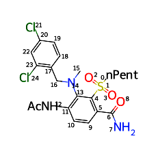 CCCCCS(=O)(=O)c1c(C(N)=O)ccc(NC(C)=O)c1N(C)Cc1ccc(Cl)cc1Cl